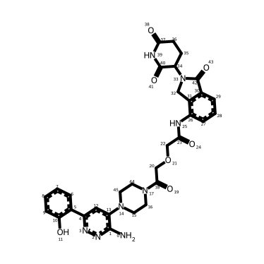 Nc1nnc(-c2ccccc2O)cc1N1CCN(C(=O)COCC(=O)Nc2cccc3c2CN(C2CCC(=O)NC2=O)C3=O)CC1